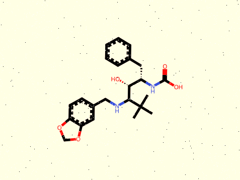 CC(C)(C)C(NCc1ccc2c(c1)OCO2)[C@H](O)[C@H](Cc1ccccc1)NC(=O)O